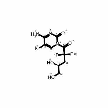 Nc1nc(=O)n(C(=O)C(F)(F)C[C@H](O)CO)cc1Br